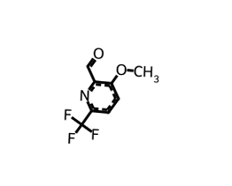 COc1ccc(C(F)(F)F)nc1C=O